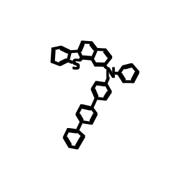 c1ccc(-c2ccc(-c3ccc(N(c4ccccc4)c4ccc5ccc6c7ccccc7sc6c5c4)cc3)cc2)cc1